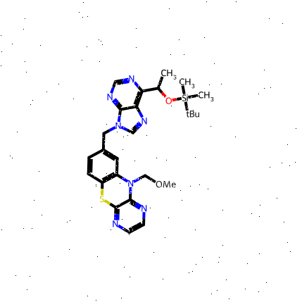 COCN1c2cc(Cn3cnc4c(C(C)O[Si](C)(C)C(C)(C)C)ncnc43)ccc2Sc2nccnc21